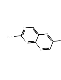 Cc1ncc2cc(F)cnc2n1